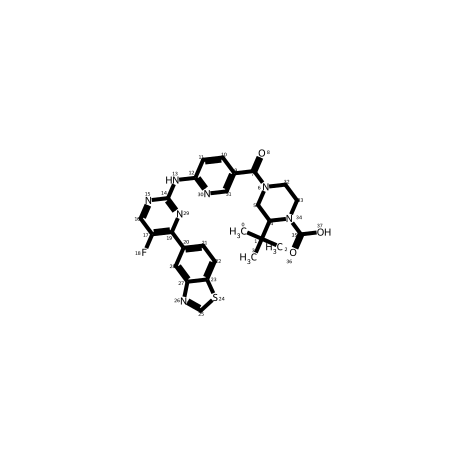 CC(C)(C)C1CN(C(=O)c2ccc(Nc3ncc(F)c(-c4ccc5scnc5c4)n3)nc2)CCN1C(=O)O